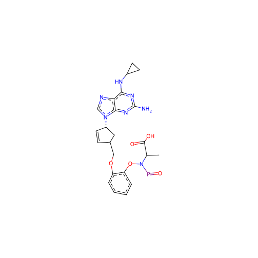 CC(C(=O)O)N(Oc1ccccc1OCC1C=C[C@H](n2cnc3c(NC4CC4)nc(N)nc32)C1)P=O